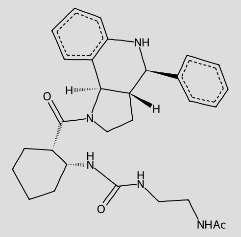 CC(=O)NCCNC(=O)N[C@@H]1CCCC[C@@H]1C(=O)N1CC[C@H]2[C@H](c3ccccc3)Nc3ccccc3[C@@H]21